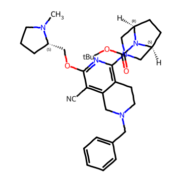 CN1CCC[C@H]1COc1nc(N2C[C@H]3CC[C@@H](C2)N3C(=O)OC(C)(C)C)c2c(c1C#N)CN(Cc1ccccc1)CC2